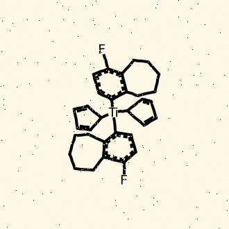 Fc1cc[c]([Ti]([c]2ccc(F)c3c2CCCCC3)([CH]2C=CC=C2)[CH]2C=CC=C2)c2c1CCCCC2